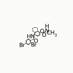 CNC(=O)Oc1ccc(NC(=O)c2ccc(Br)cc2Br)c2c1CCCC2